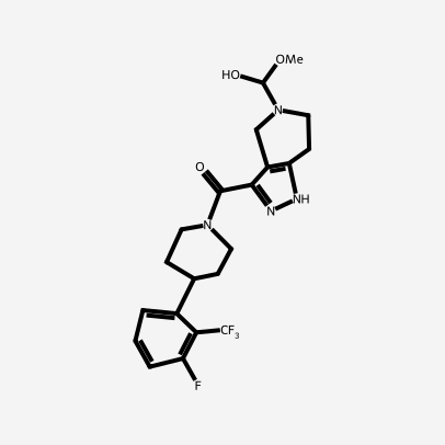 COC(O)N1CCc2[nH]nc(C(=O)N3CCC(c4cccc(F)c4C(F)(F)F)CC3)c2C1